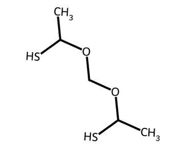 CC(S)OCOC(C)S